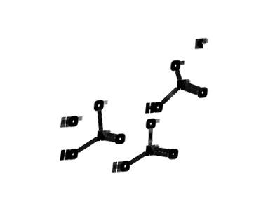 O=[N+]([O-])O.O=[N+]([O-])O.O=[N+]([O-])O.[K+].[OH-]